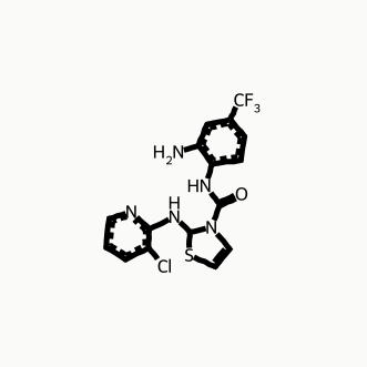 Nc1cc(C(F)(F)F)ccc1NC(=O)N1C=CSC1Nc1ncccc1Cl